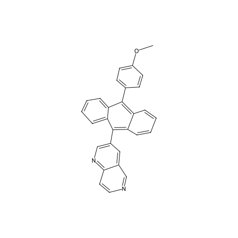 COc1ccc(-c2c3ccccc3c(-c3cnc4ccncc4c3)c3ccccc23)cc1